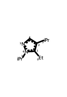 CCc1c(C(C)C)cnn1C(C)C